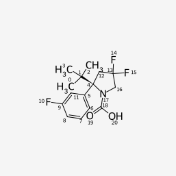 CC(C)(C)[C@@]1(c2cccc(F)c2)CC(F)(F)CN1C(=O)O